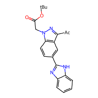 CC(=O)c1nn(CC(=O)OC(C)(C)C)c2ccc(-c3nc4ccccc4[nH]3)cc12